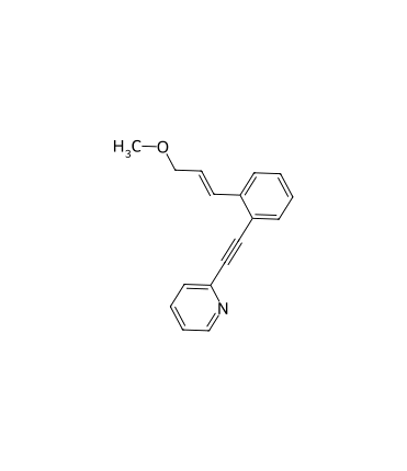 COCC=Cc1ccccc1C#Cc1ccccn1